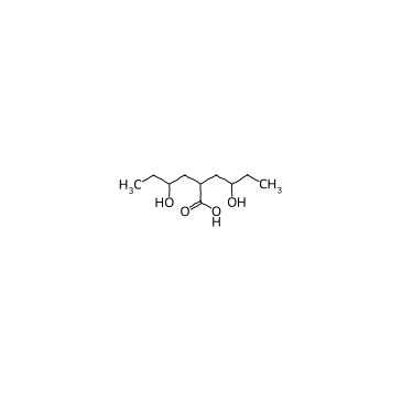 CCC(O)CC(CC(O)CC)C(=O)O